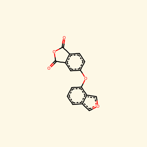 O=C1OC(=O)c2cc(Oc3cccc4cocc34)ccc21